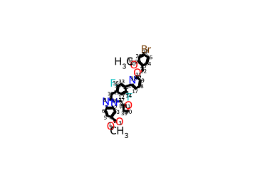 COC(=O)c1ccc2nc(Cc3cc(F)c(-c4cccc(OCc5ccc(Br)cc5OC)n4)cc3F)n(C[C@@H]3CCO3)c2c1